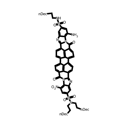 CCCCCCCCCCCCNS(=O)(=O)c1cc(N)c2c(c1)nc1c3ccc4c5ccc6c(=O)n7c(nc8cc(S(=O)(=O)N(CCCCCCCCCCCC)CCCCCCCCCCCC)cc([N+](=O)[O-])c87)c7ccc(c8ccc(c(=O)n12)c3c48)c5c67